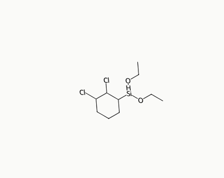 CCO[SiH](OCC)C1CCCC(Cl)C1Cl